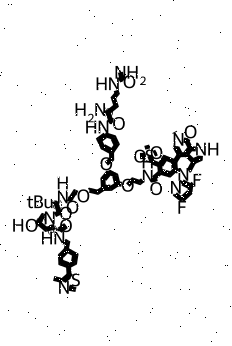 Cc1ncsc1-c1ccc(CNC(=O)[C@@H]2C[C@@H](O)CN2C(=O)[C@@H](NC(=O)COCCc2cc(OCCNC(=O)c3cc4c(cc3CS(C)(=O)=O)-c3cn(C)c(=O)c5[nH]cc(c35)CN4c3ncc(F)cc3F)cc(OCc3ccc(NC(=O)[C@@H](N)CCCNC(N)=O)cc3)c2)C(C)(C)C)cc1